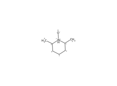 CC1CCCC(C)[NH+]1[O-]